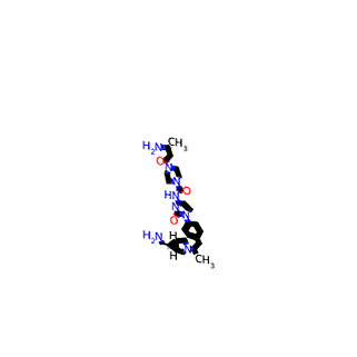 CC(Cc1ccc(-n2ccc(NC(=O)N3CCN(C(=O)C[C@H](C)N)CC3)nc2=O)cc1)N1C[C@@H]2[C@@H](CN)[C@@H]2C1